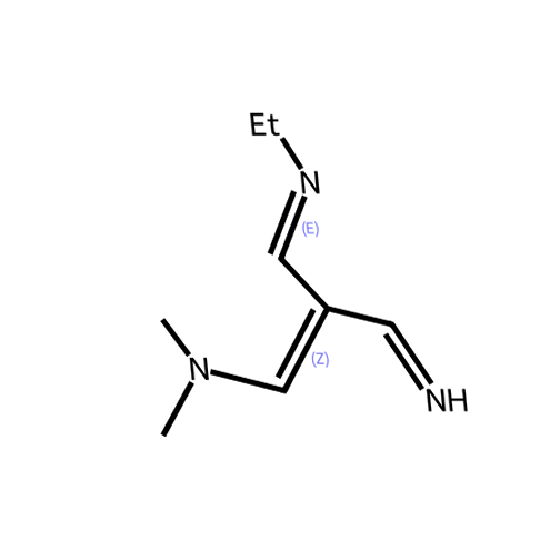 CC/N=C/C(C=N)=C\N(C)C